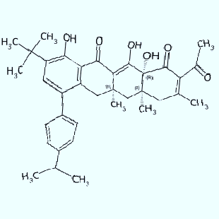 CC(=O)C1=C(C)C[C@@]2(C)C[C@@]3(C)Cc4c(-c5ccc(C(C)C)cc5)cc(C(C)(C)C)c(O)c4C(=O)C3=C(O)[C@@]2(O)C1=O